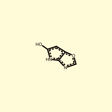 Oc1cc2ocnc2[nH]1